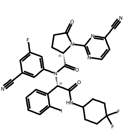 N#Cc1cc(F)cc(N(C(=O)[C@@H]2CCC(=O)N2c2nccc(C#N)n2)[C@H](C(=O)NC2CCC(F)(F)CC2)c2ccccc2I)c1